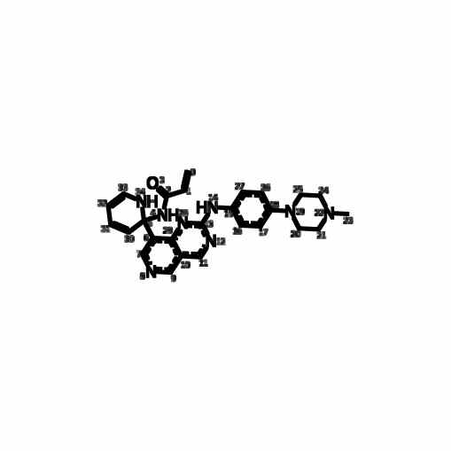 C=CC(=O)NC1(c2cncc3cnc(Nc4ccc(N5CCN(C)CC5)cc4)nc23)C=CC=CN1